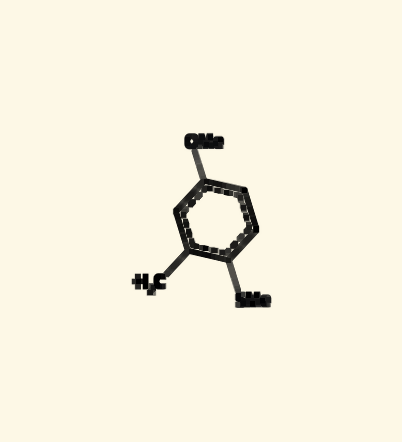 [CH2]c1cc(OC)ccc1SC